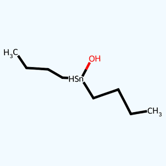 CCC[CH2][SnH]([OH])[CH2]CCC